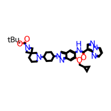 CC(C)(C)OC(=O)N1CC2(CCCN(C3CCC(n4cc5cc(NC(=O)c6cnn7cccnc67)c(OCC6CC6)cc5n4)CC3)C2)C1